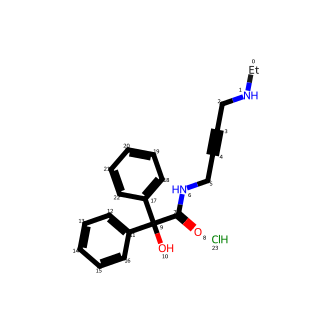 CCNCC#CCNC(=O)C(O)(c1ccccc1)c1ccccc1.Cl